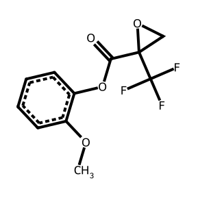 COc1ccccc1OC(=O)C1(C(F)(F)F)CO1